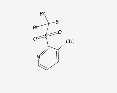 Cc1cccnc1S(=O)(=O)C(Br)(Br)Br